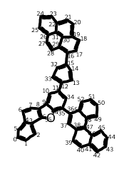 c1ccc2c(c1)ccc1c3cc(-c4ccc(-c5ccc6ccc7cccc8ccc5c6c78)cc4)cc(-c4cc5ccc6ccccc6c5c5ccccc45)c3oc21